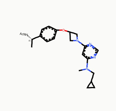 CC(=O)N[C@@H](C)c1ccc(OC2CN(c3cc(N(C)CC4CC4)ncn3)C2)cc1